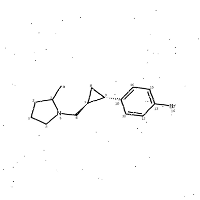 CC1CCCN1C[C@H]1C[C@@H]1c1ccc(Br)cc1